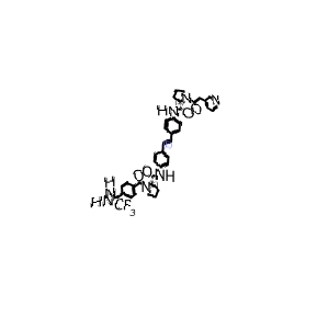 O=C(Nc1ccc(/C=C/c2ccc(NC(=O)[C@@H]3CCCN3C(=O)c3ccc(C4(C(F)(F)F)NN4)cc3)cc2)cc1)[C@@H]1CCCN1C(=O)Cc1cccnc1